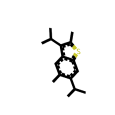 Cc1cc2c(C(C)C)c(C)sc2cc1C(C)C